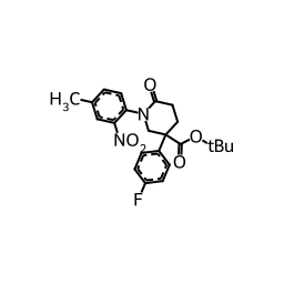 Cc1ccc(N2CC(C(=O)OC(C)(C)C)(c3ccc(F)cc3)CCC2=O)c([N+](=O)[O-])c1